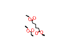 C=COC(=O)C=C.C=COC(=O)CCCCC(=O)OC=C